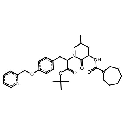 CC(C)CC(NC(=O)N1CCCCCC1)C(=O)NC(Cc1ccc(OCc2ccccn2)cc1)C(=O)OC(C)(C)C